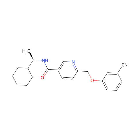 C[C@@H](NC(=O)c1ccc(COc2cccc(C#N)c2)nc1)C1CCCCC1